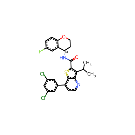 CC(C)c1c(C(=O)N[C@H]2CCOc3ccc(F)cc32)sc2c(-c3cc(Cl)cc(Cl)c3)ccnc12